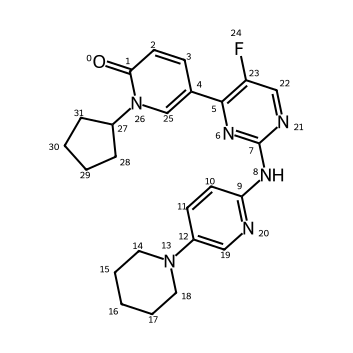 O=c1ccc(-c2nc(Nc3ccc(N4CCCCC4)cn3)ncc2F)cn1C1CCCC1